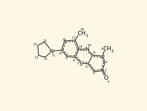 Cc1cc(=O)cc2sc3cc(N4CCCC4)cc(C)c3nc1-2